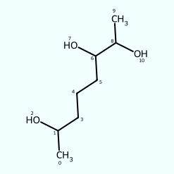 CC(O)CCCC(O)C(C)O